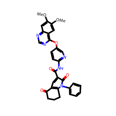 COc1cc2ncnc(Oc3ccc(NC(=O)c4cc5c(n(-c6ccccc6)c4=O)CCCC5=O)nc3)c2cc1OC